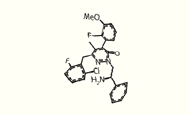 COc1cccc(-c2c(C)c(Cc3c(F)cccc3Cl)nn(CC(N)c3ccccc3)c2=O)c1F